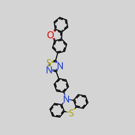 c1ccc2c(c1)Sc1ccccc1N2c1ccc(-c2nsc(-c3ccc4c(c3)oc3ccccc34)n2)cc1